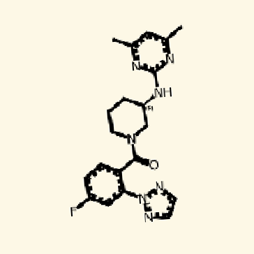 Cc1cc(C)nc(N[C@@H]2CCCN(C(=O)c3ccc(F)cc3-n3nccn3)C2)n1